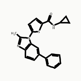 Cc1nc2ccc(-c3ccccc3)cc2n1-c1ccc(C(=O)NC2CC2)s1